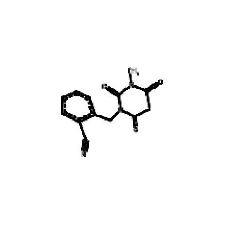 CN1C(=O)CC(=O)N(Cc2ccccc2C#N)C1=O